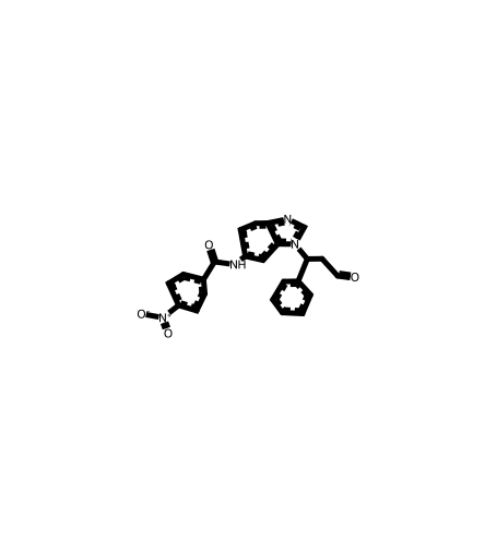 O=CCC(c1ccccc1)n1cnc2ccc(NC(=O)c3ccc([N+](=O)[O-])cc3)cc21